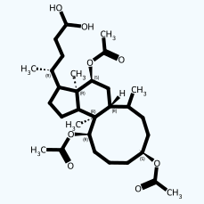 CC(=O)O[C@H]1CCC[C@@H](OC(C)=O)[C@@]2(C)C3CCC([C@H](C)CCC(O)O)[C@@]3(C)[C@@H](OC(C)=O)C[C@@H]2C(C)CC1